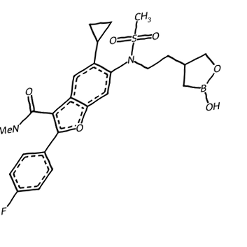 CNC(=O)c1c(-c2ccc(F)cc2)oc2cc(N(CCC3COB(O)C3)S(C)(=O)=O)c(C3CC3)cc12